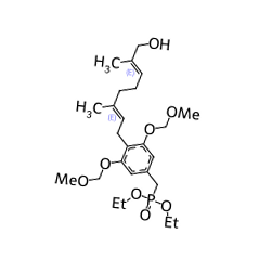 CCOP(=O)(Cc1cc(OCOC)c(C/C=C(\C)CC/C=C(\C)CO)c(OCOC)c1)OCC